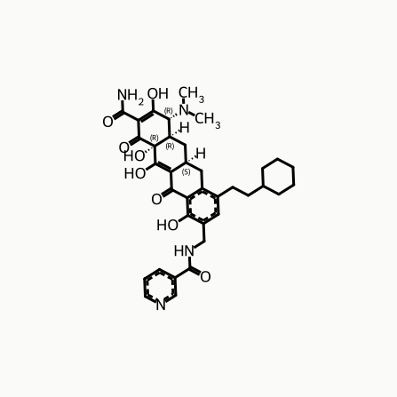 CN(C)[C@H]1C(O)=C(C(N)=O)C(=O)[C@]2(O)C(O)=C3C(=O)c4c(O)c(CNC(=O)c5cccnc5)cc(CCC5CCCCC5)c4C[C@@H]3C[C@H]12